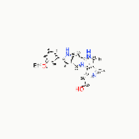 CCOc1cccc(-c2cc3cnc(NC(C)C4=CC(CCO)N=C4C)cc3[nH]2)c1